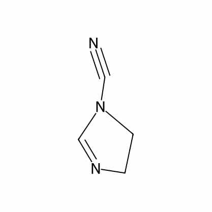 N#CN1C=NCC1